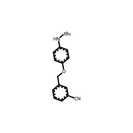 CC(C)(C)Nc1ccc(OCc2cccc(C#N)c2)cc1